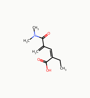 C=C(C=C(CC)C(=O)O)C(=O)N(C)C